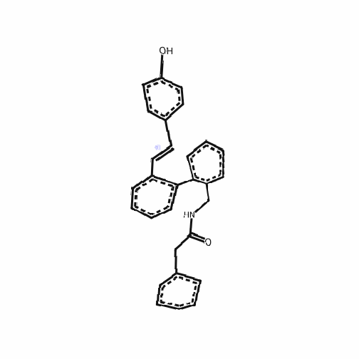 O=C(Cc1ccccc1)NCc1ccccc1-c1ccccc1/C=C/c1ccc(O)cc1